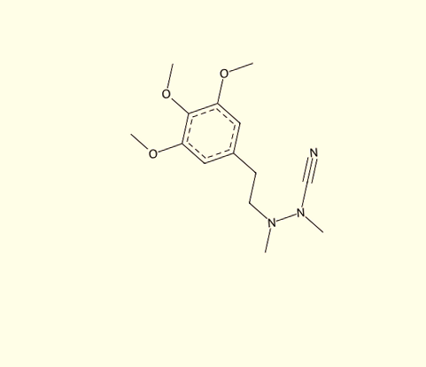 COc1cc(CCN(C)N(C)C#N)cc(OC)c1OC